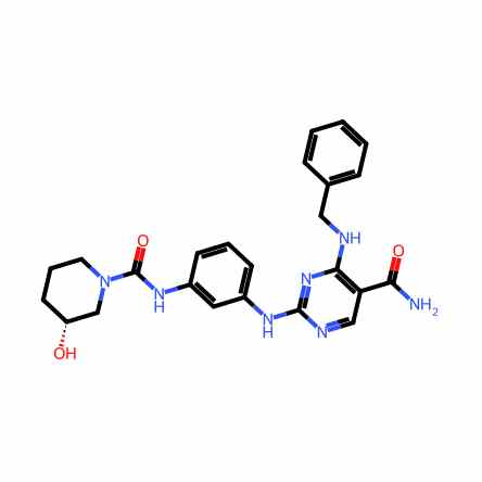 NC(=O)c1cnc(Nc2cccc(NC(=O)N3CCC[C@@H](O)C3)c2)nc1NCc1ccccc1